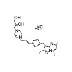 CCc1nn2c(C)cc(C)nc2c1Cc1ccc(C=CCN2CCN(C[C@@H](O)CO)CC2)cc1.Cl.Cl